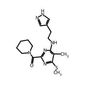 CSc1nc(C(=O)N2CCCCC2)nc(NCCc2cn[nH]c2)c1C